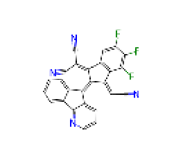 N#C/C=C1/C(=C2/c3ccccc3-c3ncccc32)C(=C(C#N)C#N)c2cc(F)c(F)c(F)c21